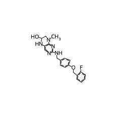 CN1CC(O)Nc2cnc(NCc3ccc(OCc4ccccc4F)cc3)nc21